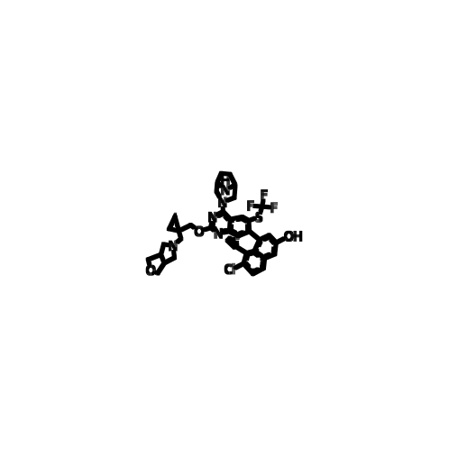 C#Cc1c(Cl)ccc2cc(O)cc(-c3c(SC(F)(F)F)cc4c(N5CC6CCC(C5)N6)nc(OCC5(CN6CC7COCC7C6)CC5)nc4c3F)c12